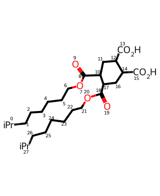 CC(C)CCCCCCOC(=O)C1CC(C(=O)O)C(C(=O)O)CC1C(=O)OCCCCCCC(C)C